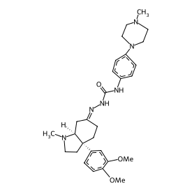 COc1ccc([C@@]23CCC(=NNC(=O)Nc4ccc(N5CCN(C)CC5)cc4)C[C@@H]2N(C)CC3)cc1OC